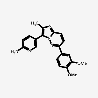 COc1ccc(-c2ccc3nc(C)c(-c4ccc(N)nc4)n3n2)cc1OC